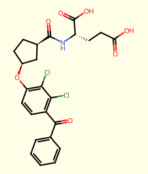 O=C(O)CC[C@H](NC(=O)[C@@H]1CC[C@H](Oc2ccc(C(=O)c3ccccc3)c(Cl)c2Cl)C1)C(=O)O